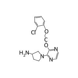 NC1CCN(c2nccnc2OCCOc2ccccc2Cl)C1